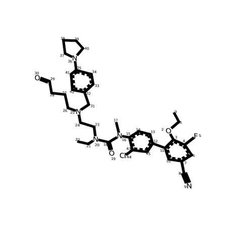 CCOc1c(F)cc(C#N)cc1-c1ccc(N(C)C(=O)N(CC)CCN(CCCC=O)Cc2ccc(N3CCCC3)cc2)c(Cl)c1